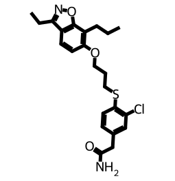 CCCc1c(OCCCSc2ccc(CC(N)=O)cc2Cl)ccc2c(CC)noc12